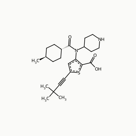 CC(C)(C)C#Cc1cc(N(C(=O)[C@H]2CC[C@H](C)CC2)C2CCNCC2)c(C(=O)O)s1